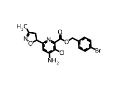 CC1=NOC(c2cc(N)c(Cl)c(C(=O)OCc3ccc(Br)cc3)n2)C1